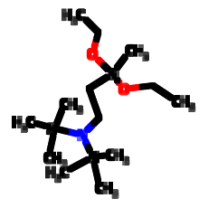 CCO[Si](C)(CCN([Si](C)(C)C)[Si](C)(C)C)OCC